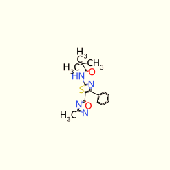 Cc1noc(-c2sc(NC(=O)C(C)(C)C)nc2-c2ccccc2)n1